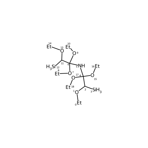 CCOC([SiH3])C(NC(OCC)(OCC)C([SiH3])OCC)(OCC)OCC